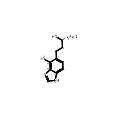 CCCCC[C@@H](O)CCc1ccc2[nH]cnc2c1O